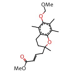 COCOc1c(C)c(C)c2c(c1C)CCC(C)(CC=CC(=O)OC)O2